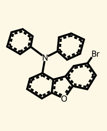 Brc1ccc2oc3cccc(N(c4ccccc4)c4ccccc4)c3c2c1